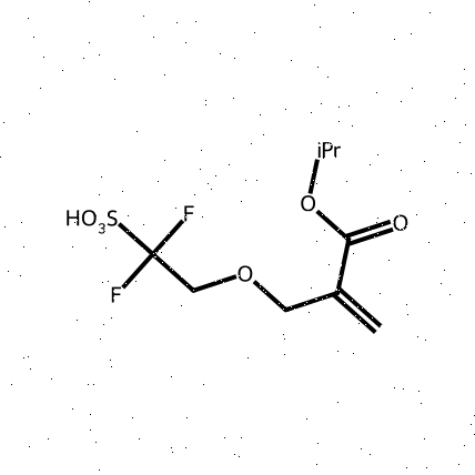 C=C(COCC(F)(F)S(=O)(=O)O)C(=O)OC(C)C